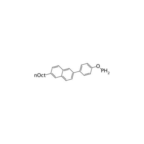 CCCCCCCCc1ccc2cc(-c3ccc(OP)cc3)ccc2c1